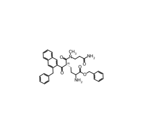 CN(CCC(N)=O)C(=O)[C@H](CCC(N)C(=O)OCc1ccccc1)C(=O)c1cc2ccccc2cc1Cc1ccccc1